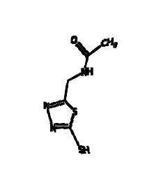 CC(=O)NCc1nnc(S)s1